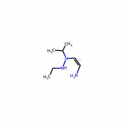 CCNN(/C=C\N)C(C)C